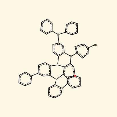 CC(C)(C)c1ccc(N2c3cc(N(c4ccccc4)c4ccccc4)ccc3B3c4ccc(-c5ccccc5)cc4N(c4ccccc4-c4ccccc4)c4cccc2c43)cc1